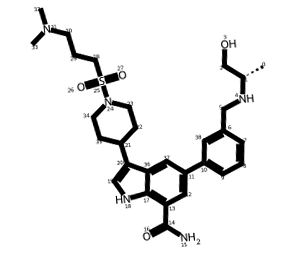 C[C@@H](CO)NCc1cccc(-c2cc(C(N)=O)c3[nH]cc(C4CCN(S(=O)(=O)CCCN(C)C)CC4)c3c2)c1